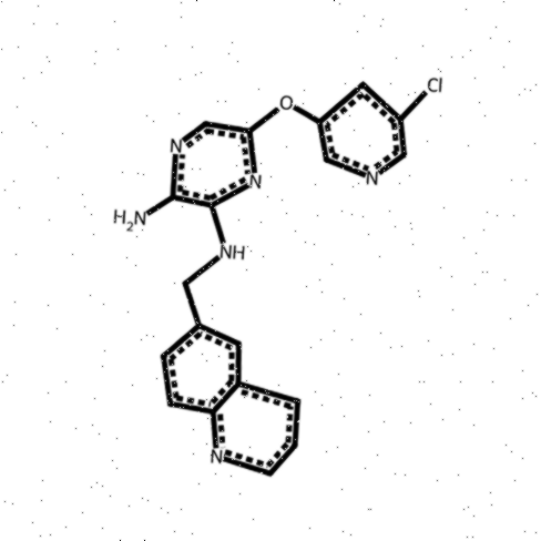 Nc1ncc(Oc2cncc(Cl)c2)nc1NCc1ccc2ncccc2c1